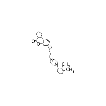 Cc1cccc(N2CCN(CCCOc3ccc4c5c(c(=O)oc4c3)CCC5)CC2)c1C